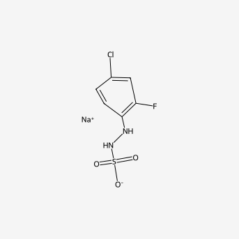 O=S(=O)([O-])NNc1ccc(Cl)cc1F.[Na+]